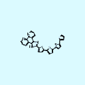 c1csc(-c2ccc(-c3ccc(-c4ccc(-c5nc6c7cccnc7c7ncccc7c6[nH]5)s4)s3)s2)c1